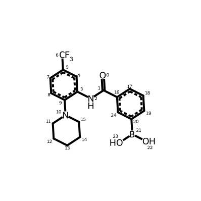 O=C(Nc1cc(C(F)(F)F)ccc1N1CCCCC1)c1cccc(B(O)O)c1